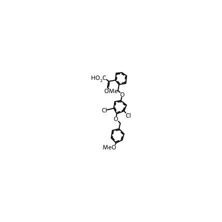 CO/C=C(/C(=O)O)c1ccccc1COc1cc(Cl)c(OCc2ccc(OC)cc2)c(Cl)c1